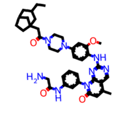 CCC1CC2CCC(CC(=O)N3CCN(c4ccc(Nc5ncc6c(C)cc(=O)n(-c7cccc(NC(=O)CN)c7)c6n5)c(OC)c4)CC3)(C1)C2